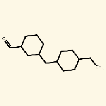 CCC1CCC(CC2CCCC(C=O)C2)CC1